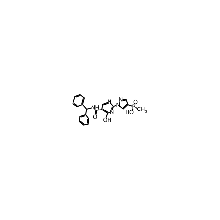 CP(=O)(O)c1cnn(-c2ncc(C(=O)NC(c3ccccc3)c3ccccc3)c(O)n2)c1